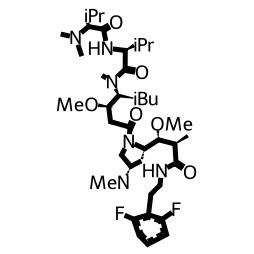 CC[C@H](C)[C@@H]([C@@H](CC(=O)N1C[C@@H](NC)C[C@H]1[C@H](OC)[C@@H](C)C(=O)NCCc1c(F)cccc1F)OC)N(C)C(=O)[C@@H](NC(=O)[C@H](C(C)C)N(C)C)C(C)C